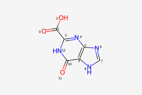 O=C(O)c1nc2nc[nH]c2c(=O)[nH]1